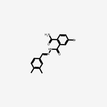 Cc1ccc(C=NNC(=O)c2cc(Br)ccc2C(N)=O)cc1C